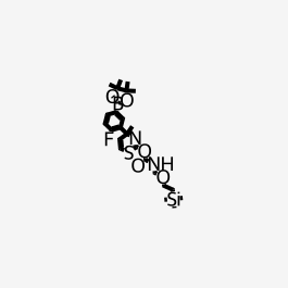 CC1(c2cc(B3OC(C)(C)C(C)(C)O3)ccc2F)C=CSC(OC(=O)NCOCC[Si](C)(C)C)=N1